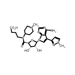 CN1CCC(N(CCCC(=O)O)C(=O)[C@H]2O[C@@H](n3cc(-c4ccn(C)n4)c4c(N)ncnc43)[C@H](O)[C@@H]2O)CC1